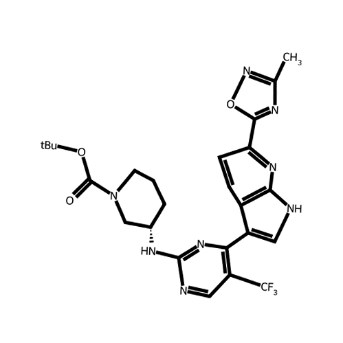 Cc1noc(-c2ccc3c(-c4nc(N[C@H]5CCCN(C(=O)OC(C)(C)C)C5)ncc4C(F)(F)F)c[nH]c3n2)n1